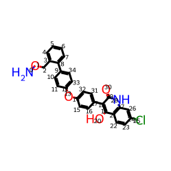 NOCc1ccccc1-c1ccc(Oc2ccc(-c3c(O)c4ccc(Cl)cc4[nH]c3=O)cc2)cc1